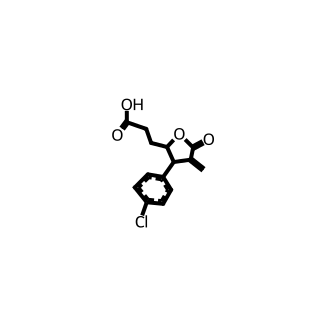 C=C1C(=O)OC(CCC(=O)O)C1c1ccc(Cl)cc1